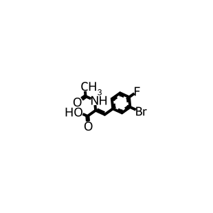 CC(=O)NC(=Cc1ccc(F)c(Br)c1)C(=O)O